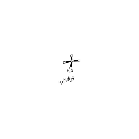 Cl[Si](Cl)(Cl)Cl.O.O.O.O.O